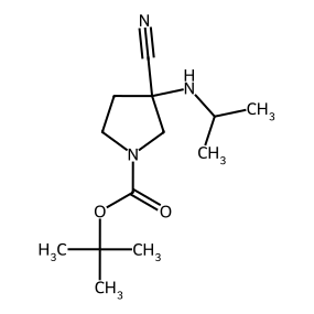 CC(C)NC1(C#N)CCN(C(=O)OC(C)(C)C)C1